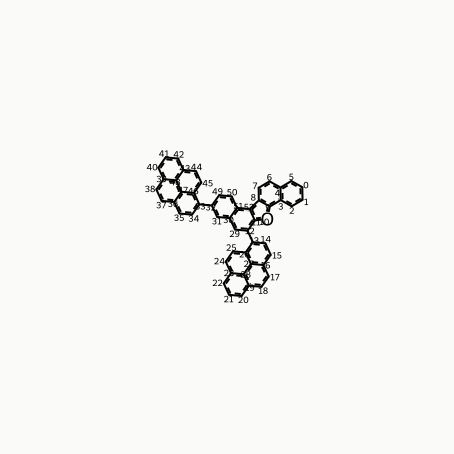 c1ccc2c(c1)ccc1c2oc2c(-c3ccc4ccc5cccc6ccc3c4c56)cc3cc(-c4ccc5ccc6cccc7ccc4c5c67)ccc3c21